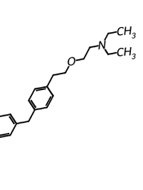 CCN(CC)CCOCCc1ccc(Cc2cccc(Cl)c2)cc1